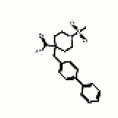 CS(=O)(=O)N1CCC(Cc2ccc(-c3ccccc3)cc2)(C(=O)O)CC1